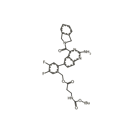 CC(C)(C)OC(=O)NCCC(=O)OCc1cc(F)c(F)cc1-c1ccc2nc(N)nc(C(=O)N3Cc4ccccc4C3)c2c1